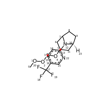 COOSOC1CC2CC[C@@H](C1)N2c1ccc(C(F)(F)F)cn1